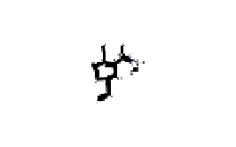 C=Cc1ccc(C)c(/C(C)=N\C)c1